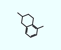 Cc1cccc2c1CCC(C)C2